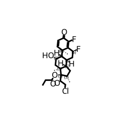 CCC(=O)O[C@@]1(C(=O)CCl)[C@@H](C)C[C@H]2[C@@H]3C[C@H](F)C4=C(F)C(=O)C=C[C@]4(C)[C@H]3[C@@H](O)C[C@@]21C